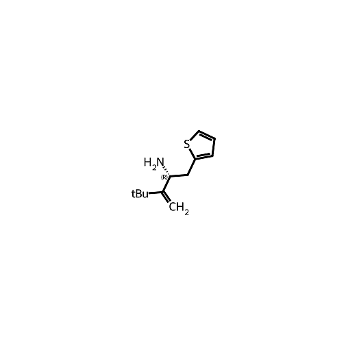 C=C([C@H](N)Cc1cccs1)C(C)(C)C